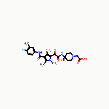 Cc1cc(NC(=O)c2c(C)c(C(=O)C(=O)NC3(C)CCN(CC(=O)O)CC3)n(C)c2C)ccc1F